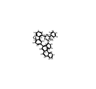 c1ccc(C2=NC(c3cccc4oc5ccc(-c6ccc7c(ccc8ccccc87)c6)cc5c34)=NC(c3ccccc3)N2)cc1